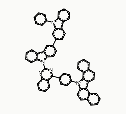 c1ccc(-n2c3ccccc3c3ccc(-c4ccc5c(c4)c4ccccc4n5-c4nc(-c5ccc(-n6c7ccc8ccccc8c7c7ccc8ccccc8c76)cc5)c5ccccc5n4)cc32)cc1